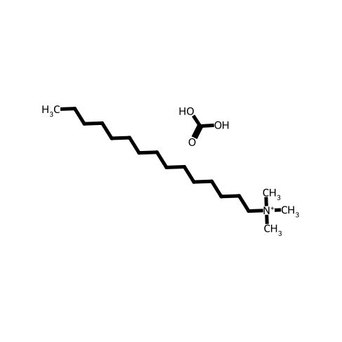 CCCCCCCCCCCCCCC[N+](C)(C)C.O=C(O)O